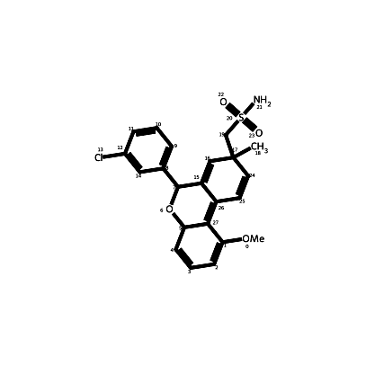 COC1=CC=CC2OC(c3cccc(Cl)c3)C3=CC(C)(CS(N)(=O)=O)C=CC3=C12